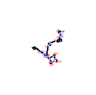 Cc1ccc(CCCC(=O)NCCOCC[C@H](NC(=O)CN2CCN(CC(=O)O)CCN(CC(=O)O)CCN(CC(=O)O)CC2)C(=O)NCCCCCC(=O)N2CCN(CCCCOc3ccc4nccc(C(=O)NCC(=O)N5CC(F)(F)C[C@@H]5C#N)c4c3)CC2)cc1